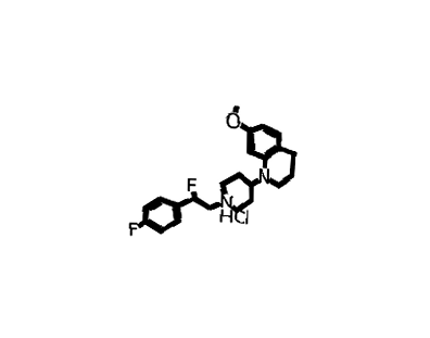 COc1ccc2c(c1)N(C1CCN(CC(F)c3ccc(F)cc3)CC1)CCC2.Cl